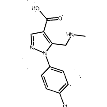 CNCc1c(C(=O)O)cnn1-c1ccc(Cl)cc1